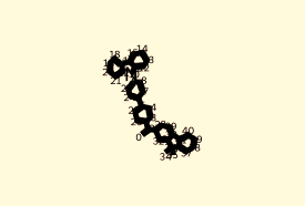 C=C(c1ccc(-c2ccc(-n3c4ccccc4c4ccccc43)cc2)cc1)c1ccc2c(c1)C(C)(C)c1ccccc1-2